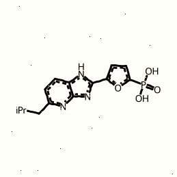 CC(C)Cc1ccc2[nH]c(-c3ccc(P(=O)(O)O)o3)nc2n1